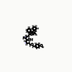 COc1ccc(COCC/C=C\C(O)/C(F)=C\CCO[Si](c2ccccc2)(c2ccccc2)C(C)(C)C)cc1